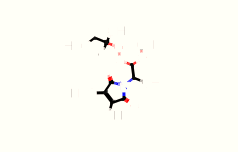 CCC(C)(C)OOC(OC)C(C)N1C(=O)C(C)=C(C)C1=O